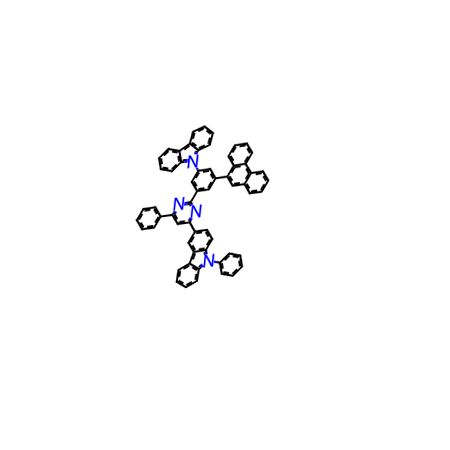 c1ccc(-c2cc(-c3ccc4c(c3)c3ccccc3n4-c3ccccc3)nc(-c3cc(-c4cc5ccccc5c5ccccc45)cc(-n4c5ccccc5c5ccccc54)c3)n2)cc1